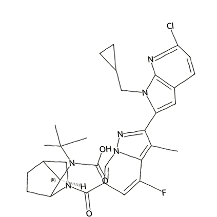 Cc1c(-c2cc3ccc(Cl)nc3n2CC2CC2)nn2cc(C(=O)N3CC4CCC3[C@@H]4N(C(=O)O)C(C)(C)C)cc(F)c12